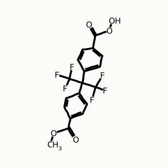 COC(=O)c1ccc(C(c2ccc(C(=O)OO)cc2)(C(F)(F)F)C(F)(F)F)cc1